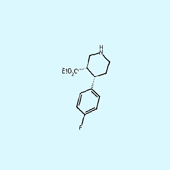 CCOC(=O)[C@@H]1CNCC[C@@H]1c1ccc(F)cc1